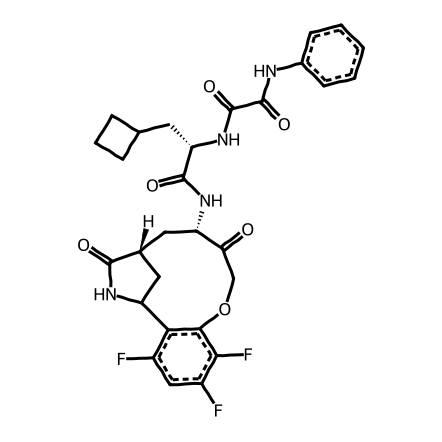 O=C(Nc1ccccc1)C(=O)N[C@@H](CC1CCC1)C(=O)N[C@H]1C[C@@H]2CC(NC2=O)c2c(F)cc(F)c(F)c2OCC1=O